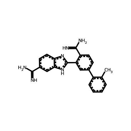 Cc1ccccc1-c1ccc(C(=N)N)c(-c2nc3ccc(C(=N)N)cc3[nH]2)c1